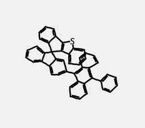 c1ccc(-c2c3ccccc3c(-c3ccc4c(c3)C3(c5ccccc5-4)c4ccccc4-c4sc5ccccc5c43)c3ccccc23)cc1